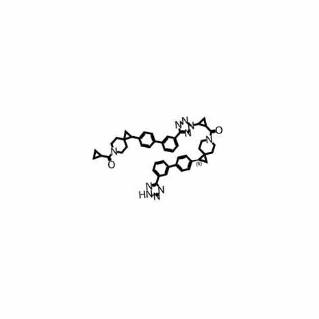 O=C(C1CC1)N1CCC2(CC1)CC2c1ccc(-c2cccc(-c3nnn(C4CC4C(=O)N4CCC5(CC4)C[C@H]5c4ccc(-c5cccc(-c6nn[nH]n6)c5)cc4)n3)c2)cc1